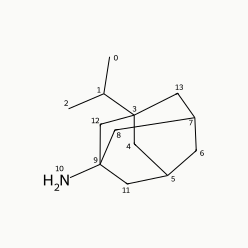 CC(C)C12CC3CC(CC(N)(C3)C1)C2